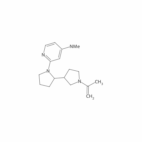 C=C(C)N1CCC(C2CCCN2c2cc(NC)ccn2)C1